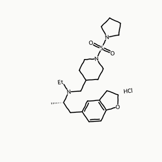 CCN(CC1CCN(S(=O)(=O)N2CCCC2)CC1)[C@@H](C)Cc1ccc2c(c1)CCO2.Cl